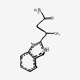 [CH2]C(CC(N)=O)c1nc2ccccc2[nH]1